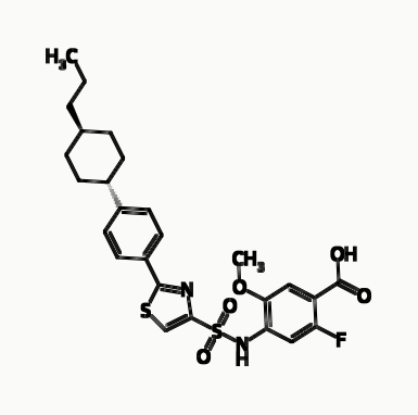 CCC[C@H]1CC[C@H](c2ccc(-c3nc(S(=O)(=O)Nc4cc(F)c(C(=O)O)cc4OC)cs3)cc2)CC1